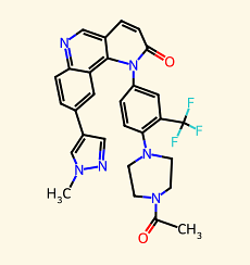 CC(=O)N1CCN(c2ccc(-n3c(=O)ccc4cnc5ccc(-c6cnn(C)c6)cc5c43)cc2C(F)(F)F)CC1